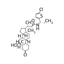 CC[C@H](NC(=O)C[C@@H](C)C1CC[C@H]2[C@@H]3C[C@H](O)[C@@H]4CC(=O)CC[C@]4(C)[C@H]3CC[C@]12C)c1ccc(Cl)s1